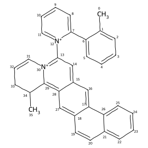 Cc1ccccc1-c1cccc[n+]1-c1cc2cc3c(ccc4ccccc43)cc2c2[n+]1C=CCC2C